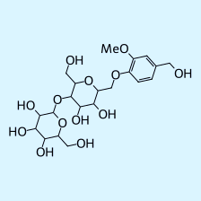 COc1cc(CO)ccc1OCC1OC(CO)C(OC2OC(CO)C(O)C(O)C2O)C(O)C1O